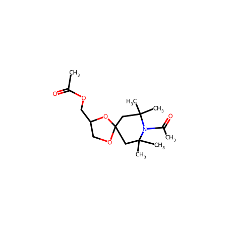 CC(=O)OCC1COC2(CC(C)(C)N(C(C)=O)C(C)(C)C2)O1